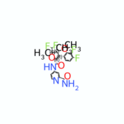 COc1c([C@@H]2[C@H](C(=O)Nc3ccnc(C(N)=O)c3)O[C@](C)(C(F)F)[C@H]2C)ccc(F)c1F